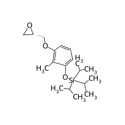 Cc1c(OC[C@@H]2CO2)cccc1O[Si](C(C)C)(C(C)C)C(C)C